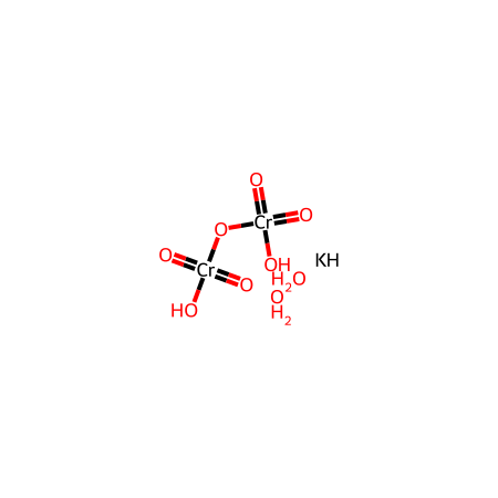 O.O.[KH].[O]=[Cr](=[O])([OH])[O][Cr](=[O])(=[O])[OH]